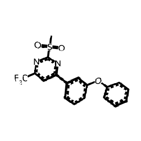 CS(=O)(=O)c1nc(-c2cccc(Oc3ccccc3)c2)cc(C(F)(F)F)n1